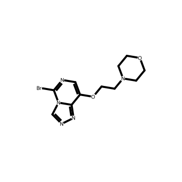 Brc1ncc(OCCN2CCOCC2)c2nncn12